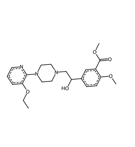 CCOc1cccnc1N1CCN(CC(O)c2ccc(OC)c(C(=O)OC)c2)CC1